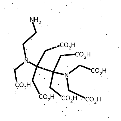 NCCN(CC(=O)O)C(CC(=O)O)(CC(=O)O)C(CC(=O)O)(CC(=O)O)N(CC(=O)O)CC(=O)O